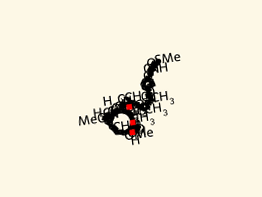 COc1cc2cc(c1Cl)N(C)C(=O)C[C@H](OC(=O)[C@H](C)N(C)C(=O)CCOC(=O)N(C)CCN(C)C(=O)OC1/C=C/CC(OCC(=O)NC(=O)CSC)CCC1)[C@]1(C)O[C@H]1[C@H](C)[C@@H]1C[C@@](O)(NC(=O)O1)[C@H](OC)/C=C/C=C(\C)C2